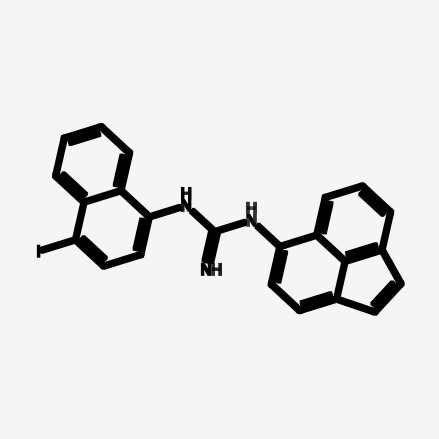 N=C(Nc1ccc(I)c2ccccc12)Nc1ccc2c3c(cccc13)C=C2